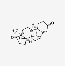 C[C@]12CC[C@@H]3[C@@H](CCC4=CC(=O)CC[C@@]43CCl)[C@@H]1CCC2=O